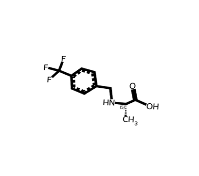 C[C@H](NCc1ccc(C(F)(F)F)cc1)C(=O)O